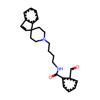 O=Cc1ccccc1C(=O)NCCCCN1CCC2(C=Cc3ccccc32)CC1